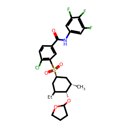 CCC1C[C@@H](S(=O)(=O)c2cc(C(=O)Nc3cc(F)c(F)c(F)c3)ccc2Cl)C[C@H](C)[C@@H]1OC1CCCO1